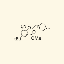 COC(=O)c1cc(C(C)(C)C)cc(C#N)c1OCCN1CCN(C)CC1